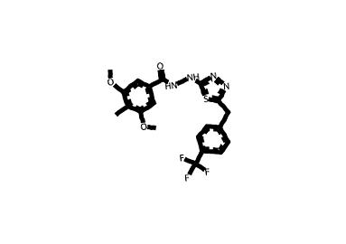 COc1cc(C(=O)NNc2nnc(Cc3ccc(C(F)(F)F)cc3)s2)cc(OC)c1C